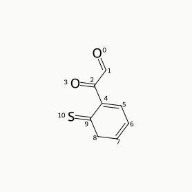 O=CC(=O)C1=CC=CCC1=S